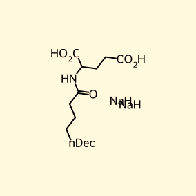 CCCCCCCCCCCCCC(=O)NC(CCC(=O)O)C(=O)O.[NaH].[NaH]